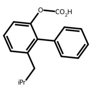 CC(C)Cc1cccc(OC(=O)O)c1-c1ccccc1